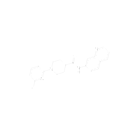 O=C(Nc1ccc2cccnc2c1)C1CCN(c2cccc(C(F)(F)F)n2)CC1